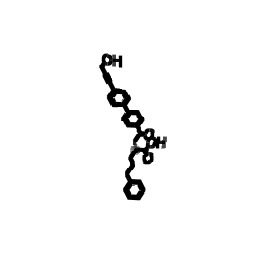 O=C(C[C@@H](CCCc1ccccc1)C(=O)O)c1ccc(-c2ccc(C#CCO)cc2)cc1